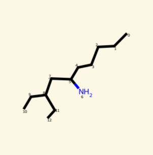 CCCCCC(N)[CH]C(CC)CC